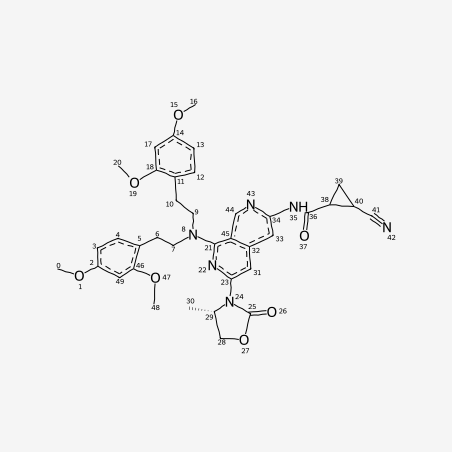 COc1ccc(CCN(CCc2ccc(OC)cc2OC)c2nc(N3C(=O)OC[C@@H]3C)cc3cc(NC(=O)C4CC4C#N)ncc23)c(OC)c1